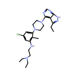 CCc1n[nH]c2ncnc(N3CCN(c4cc(Cl)cc(NCCN(CC)CC)c4C)CC3)c12